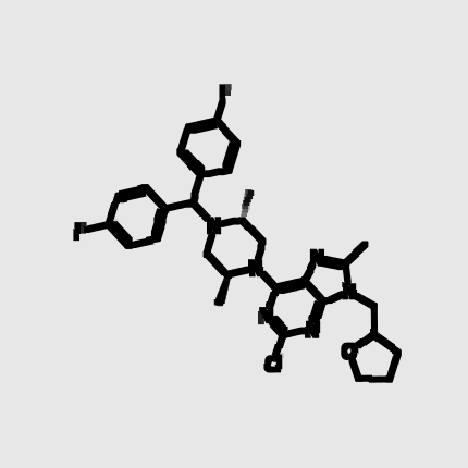 Cc1nc2c(N3C[C@@H](C)N(C(c4ccc(F)cc4)c4ccc(F)cc4)C[C@@H]3C)nc(Cl)nc2n1CC1CCCO1